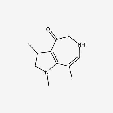 CC1=CNCC(=O)C2=C1N(C)CC2C